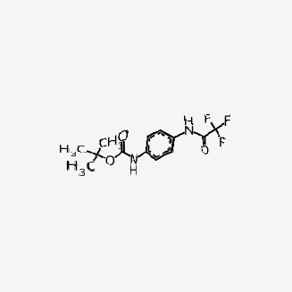 CC(C)(C)OC(=O)Nc1ccc(NC(=O)C(F)(F)F)cc1